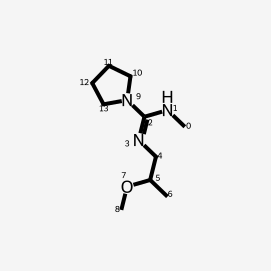 CN/C(=N\CC(C)OC)N1CCCC1